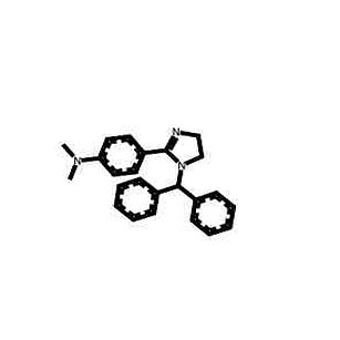 CN(C)c1ccc(C2=NCCN2C(c2ccccc2)c2ccccc2)cc1